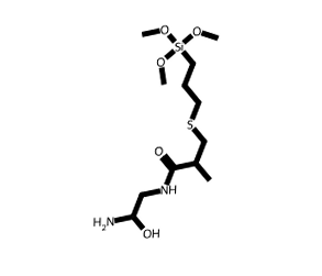 CO[Si](CCCSCC(C)C(=O)NCC(N)O)(OC)OC